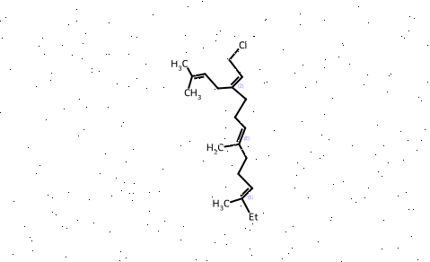 CC/C(C)=C/CC/C(C)=C/CC/C(=C/CCl)CC=C(C)C